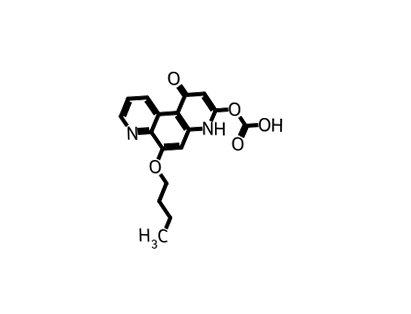 CCCCOc1cc2[nH]c(OC(=O)O)cc(=O)c2c2cccnc12